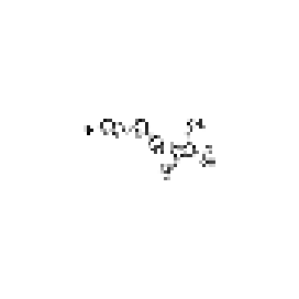 CCOc1cc(C(=O)O)cc2c1nc(CN1CCN(c3cccc(OCc4ccc(C#N)cc4F)n3)C=N1)n2C[C@@H]1CCO1